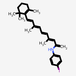 C=C(/C=C(C)/C=C/C=C(C)/C=C/C1=C(C)CCCC1(C)C)Nc1ccc(I)cc1